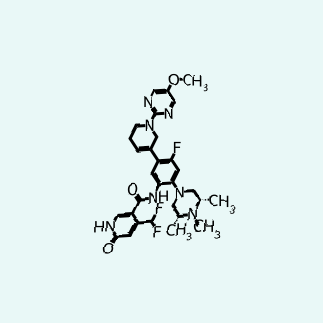 COc1cnc(N2CCC=C(c3cc(NC(=O)c4c[nH]c(=O)cc4C(F)F)c(N4C[C@@H](C)N(C)[C@@H](C)C4)cc3F)C2)nc1